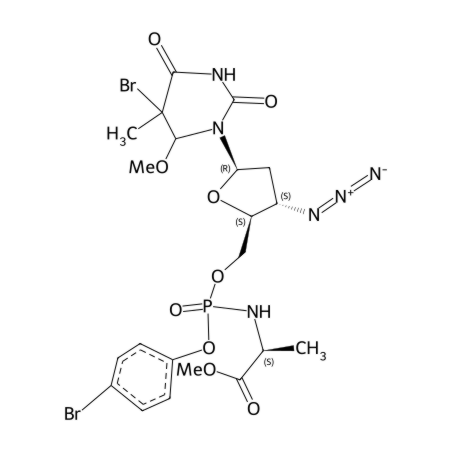 COC(=O)[C@H](C)NP(=O)(OC[C@H]1O[C@@H](N2C(=O)NC(=O)C(C)(Br)C2OC)C[C@@H]1N=[N+]=[N-])Oc1ccc(Br)cc1